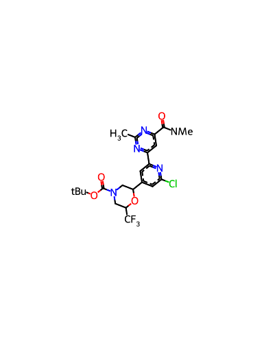 CNC(=O)c1cc(-c2cc(C3CN(C(=O)OC(C)(C)C)CC(C(F)(F)F)O3)cc(Cl)n2)nc(C)n1